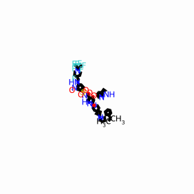 CC(C)c1ccccc1[C@@H]1CCCN1C1CC2(CCN(c3cc(Oc4cnc5[nH]ccc5c4)c(C(=O)NS(=O)(=O)c4ccc(NCC5(F)CCN(C(C(F)(F)F)C(F)(F)F)CC5)c(N=O)c4)cn3)CC2)C1